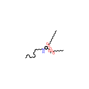 CC/C=C\C/C=C\C/C=C\C/C=C\C/C=C\CCCCNc1ccc(OC(=O)CCCCCCCCCCC)c(C(=O)OC(C)OC(=O)CCCCCCC)c1